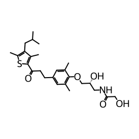 Cc1cc(CCC(=O)c2sc(C)c(CC(C)C)c2C)cc(C)c1OC[C@H](O)CNC(=O)CO